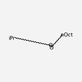 CCCCCCCCC=CCCCCCCCCCC(=O)OCCCCCCCCCCCCCCCCCCCCCCCCCCCCC(C)C